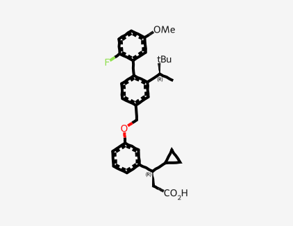 COc1ccc(F)c(-c2ccc(COc3cccc([C@H](CC(=O)O)C4CC4)c3)cc2[C@H](C)C(C)(C)C)c1